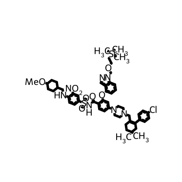 COC1CCC(CNc2ccc(S(=O)(=O)NC(=O)c3ccc(N4CCN(CC5=C(c6ccc(Cl)cc6)CC(C)(C)CC5)CC4)cc3Oc3cccc4c3cnn4COCC[Si](C)(C)C)cc2[N+](=O)[O-])CC1